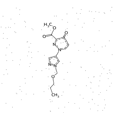 CCCOCn1cc(-n2ccc(=O)c(C(=O)OC)n2)cn1